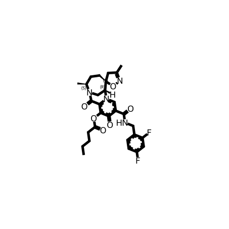 CCCCC(=O)Oc1c2n(cc(C(=O)NCc3ccc(F)cc3F)c1=O)[C@@H]1CN(C2=O)[C@@H](C)CC[C@]12CC(C)=NO2